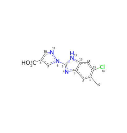 Cc1cc2nc(-n3cc(C(=O)O)cn3)[nH]c2cc1Cl